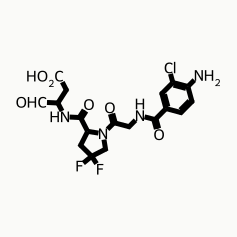 Nc1ccc(C(=O)NCC(=O)N2CC(F)(F)CC2C(=O)NC(C=O)CC(=O)O)cc1Cl